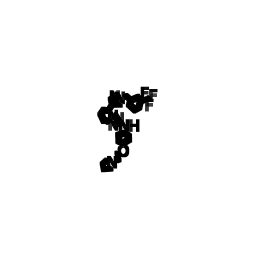 FC(F)(F)c1cccc(Cn2cc(-c3cccc4nc(Nc5ccc(OCCN6CCCC6)cc5)nn34)cn2)c1